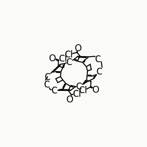 O=C(Cl)Cc1c2cc3cc1C1CCC1c1cc(cc(c1CC(=O)Cl)Cc1cc4cc(c1CC(=O)Cl)C1CCC1c1cc(cc(c1CC(=O)Cl)C2)CCCCC4)CCCCC3